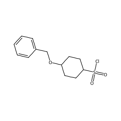 O=S(=O)(Cl)C1CCC(OCc2ccccc2)CC1